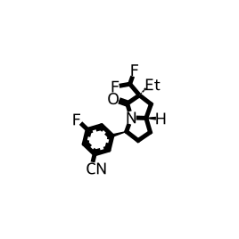 CC[C@]1(C(F)F)C[C@@H]2CC[C@@H](c3cc(F)cc(C#N)c3)N2C1=O